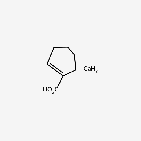 O=C(O)C1=CCCCC1.[GaH3]